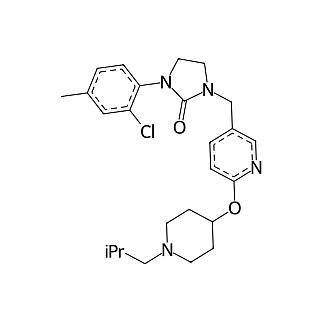 Cc1ccc(N2CCN(Cc3ccc(OC4CCN(CC(C)C)CC4)nc3)C2=O)c(Cl)c1